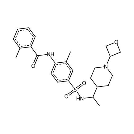 Cc1cc(S(=O)(=O)NC(C)C2CCN(C3COC3)CC2)ccc1NC(=O)c1ccccc1C